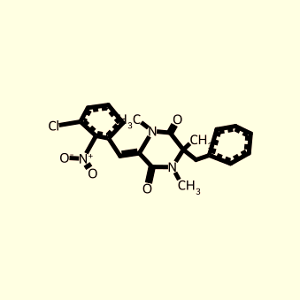 CN1C(=O)C(C)(Cc2ccccc2)N(C)C(=O)C1=Cc1cccc(Cl)c1[N+](=O)[O-]